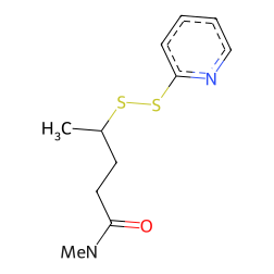 CNC(=O)CCC(C)SSc1ccccn1